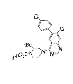 CC(C)(C)C1CN(c2ncnc3cc(Cl)c(-c4ccc(Cl)cc4)cc23)CCN1C(=O)O